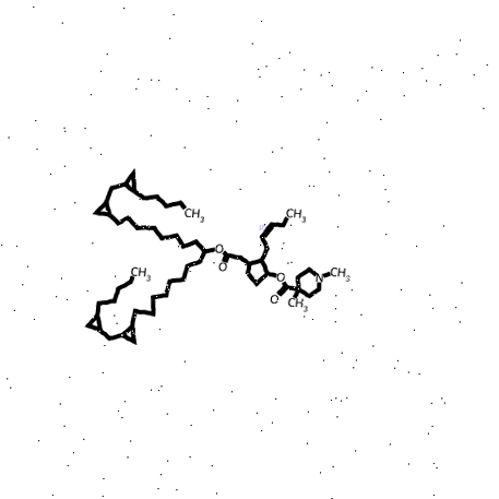 CC/C=C\CC1C(CC(=O)OC(CCCCCCCCC2CC2CC2CC2CCCCC)CCCCCCCCC2CC2CC2CC2CCCCC)CCC1OC(=O)C1(C)CCN(C)CC1